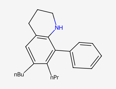 CCCCc1cc2c(c(-c3ccccc3)c1CCC)NCCC2